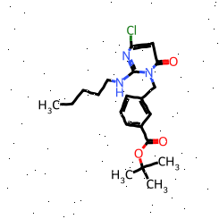 CCCCCNc1nc(Cl)cc(=O)n1Cc1cccc(C(=O)OC(C)(C)C)c1